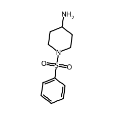 NC1CCN(S(=O)(=O)c2ccccc2)CC1